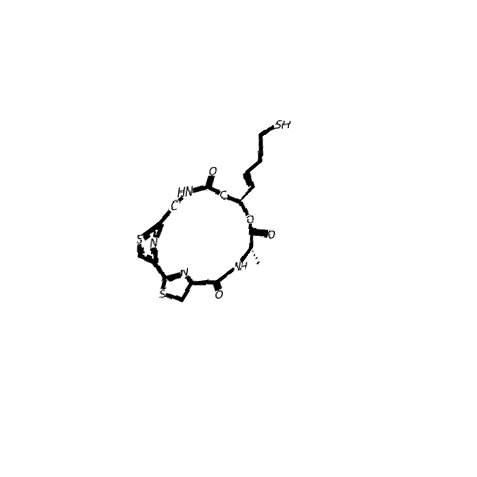 C[C@@H]1NC(=O)[C@]2(C)CSC(=N2)c2csc(n2)CNC(=O)C[C@@H](/C=C/CCS)OC1=O